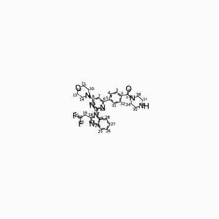 O=C(c1ccc(-c2cc(N3CCOCC3)nc(-n3c(CC(F)F)nc4ccccc43)n2)cc1)N1CCNCC1